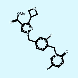 COC(=O)c1cn(Cc2ccc(Cn3cc(F)ccc3=O)c(F)c2)nc1C1COC1